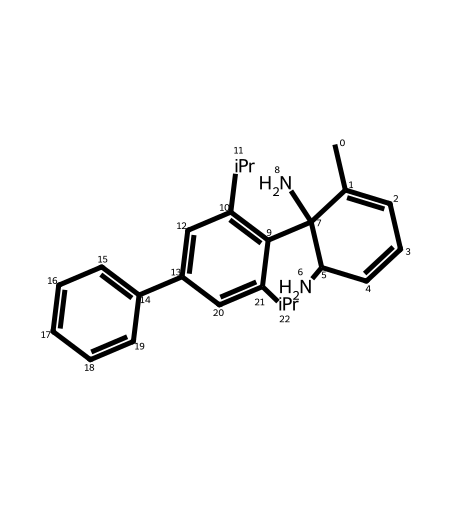 CC1=CC=CC(N)C1(N)c1c(C(C)C)cc(-c2ccccc2)cc1C(C)C